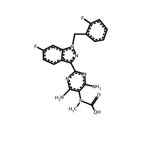 CN(C(=O)O)c1c(N)nc(-c2nn(Cc3ccccc3F)c3cc(F)ccc23)nc1N